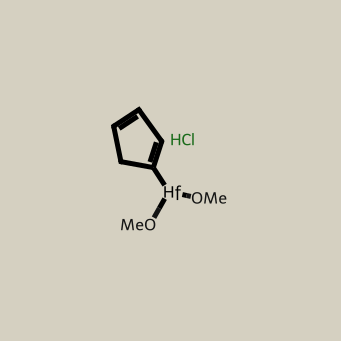 C[O][Hf]([O]C)[C]1=CC=CC1.Cl